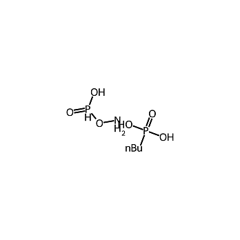 CCCCP(=O)(O)O.NO[PH](=O)O